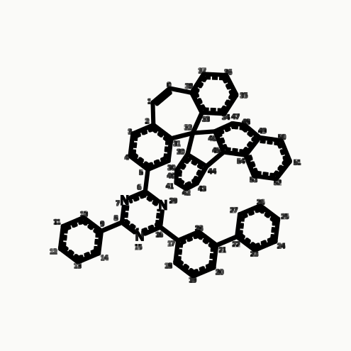 C1=Cc2ccc(-c3nc(-c4ccccc4)nc(-c4cccc(-c5ccccc5)c4)n3)cc2C2(c3ccccc31)c1ccccc1-c1c2ccc2ccccc12